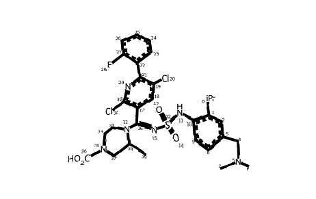 CC(C)c1cc(CN(C)C)ccc1NS(=O)(=O)N=C(c1cc(Cl)c(-c2ccccc2F)nc1Cl)N1CCN(C(=O)O)CC1C